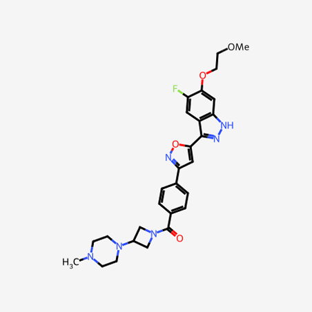 COCCOc1cc2[nH]nc(-c3cc(-c4ccc(C(=O)N5CC(N6CCN(C)CC6)C5)cc4)no3)c2cc1F